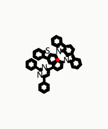 c1ccc(-c2cc(-c3ccc(-n4c5ccccc5c5ccc6c7ccccc7n(-c7cccc8c7sc7ccccc78)c6c54)cc3)nc(-c3ccccc3)n2)cc1